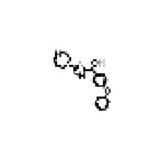 OC(c1ccc(Oc2ccccc2)cc1)c1nsc(N2CCCNCC2)n1